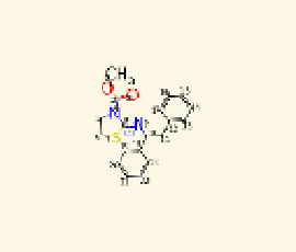 COC(=O)N1CCS/C1=N\C(Cc1ccccc1)c1ccccc1